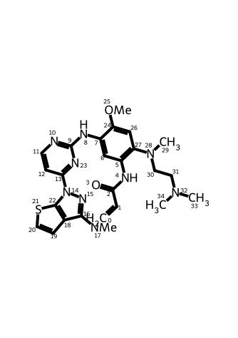 C=CC(=O)Nc1cc(Nc2nccc(-n3nc(NC)c4ccsc43)n2)c(OC)cc1N(C)CCN(C)C